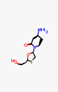 Nc1ccn(C2CSC(CO)O2)c(=O)c1